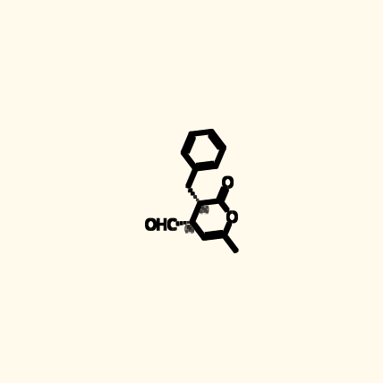 CC1=C[C@H](C=O)[C@H](Cc2ccccc2)C(=O)O1